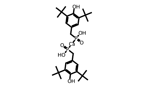 CC(C)(C)c1cc(C[P](=O)(O)[Ca][P](=O)(O)Cc2cc(C(C)(C)C)c(O)c(C(C)(C)C)c2)cc(C(C)(C)C)c1O